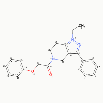 CCn1nc(-c2ccccc2)c2c1CCN(C(=O)COc1ccccc1)C2